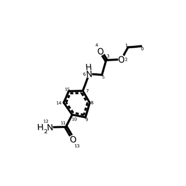 CCOC(=O)CNc1ccc(C(N)=O)cc1